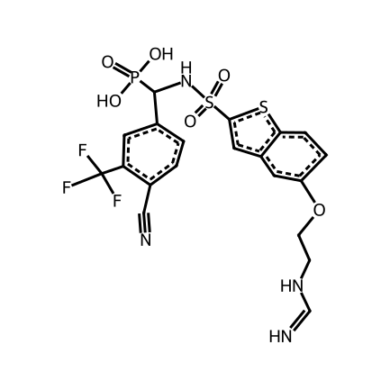 N#Cc1ccc(C(NS(=O)(=O)c2cc3cc(OCCNC=N)ccc3s2)P(=O)(O)O)cc1C(F)(F)F